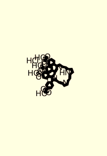 Cl.O=S(=O)(O)c1ccc(C2=Cc3cc4ccc(cc5nc(cc6[nH]c(c(-c7ccc(S(=O)(=O)O)cc7)c2n3)c(-c2ccc(S(=O)(=O)O)cc2)c6-c2ccc(S(=O)(=O)O)cc2)C=C5)[nH]4)cc1